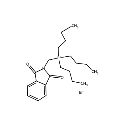 CCCC[P+](CCCC)(CCCC)CN1C(=O)c2ccccc2C1=O.[Br-]